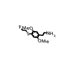 COc1cc(SCCF)c(OC)cc1CCN